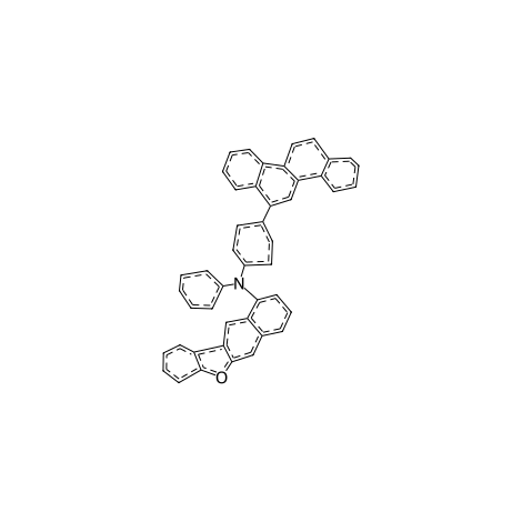 c1ccc(N(c2ccc(-c3cc4c5ccccc5ccc4c4ccccc34)cc2)c2cccc3cc4oc5ccccc5c4cc23)cc1